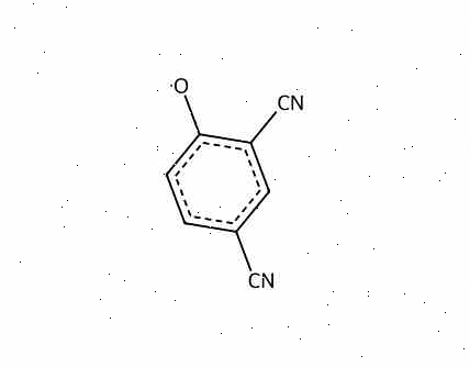 N#Cc1ccc([O])c(C#N)c1